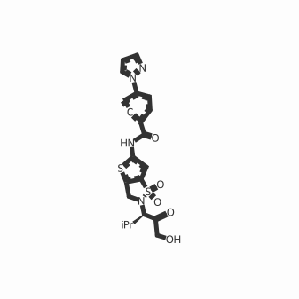 CC(C)[C@H](C(=O)CO)N1Cc2sc(NC(=O)c3ccc(-n4cccn4)cc3)cc2S1(=O)=O